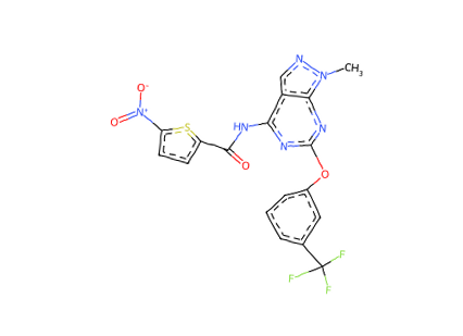 Cn1ncc2c(NC(=O)c3ccc([N+](=O)[O-])s3)nc(Oc3cccc(C(F)(F)F)c3)nc21